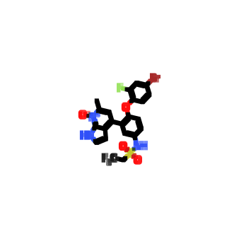 Cc1cc(-c2cc(NS(=O)(=O)CC(F)(F)F)ccc2Oc2ccc(Br)cc2F)c2cc[nH]c2[n+]1[O-]